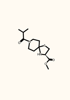 COC(=O)[C@@H]1CSC2(CCN(C(=O)C(C)C)CC2)N1